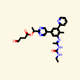 CCNC(=O)N/C(C)=N/c1cc(-c2cnc(C(C)OC(=O)CCC=O)nc2)cc(-c2ccccn2)c1C